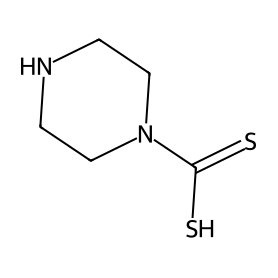 S=C(S)N1CCNCC1